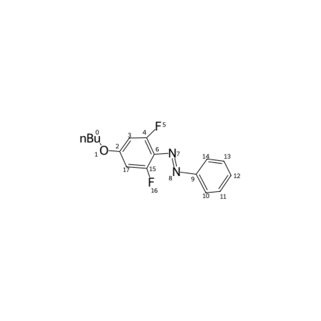 CCCCOc1cc(F)c(N=Nc2ccccc2)c(F)c1